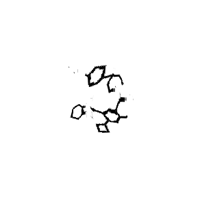 Cc1cc(C2CCC2)c(-c2nc3c([nH]2)CCCC3)cc1C(=O)N1CCC(F)(c2ccc(C#N)cc2)CC1